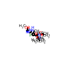 CCOC(=O)c1cnn2ccc(N[C@H](C)c3cc(F)cc4c3OC(CNC(=O)OC(C)(C)C)(CO[Si](C)(C)C(C)(C)C)C4)nc12